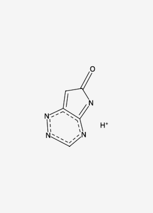 O=C1C=c2nncnc2=N1.[H+]